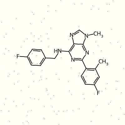 Cc1cc(F)ccc1-c1nc(NCc2ccc(F)cc2)c2ncn(C)c2n1